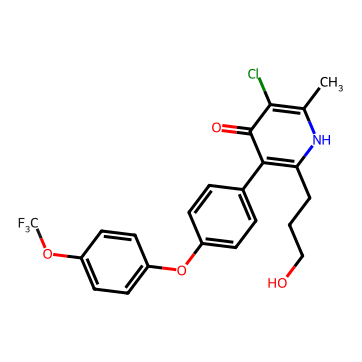 Cc1[nH]c(CCCO)c(-c2ccc(Oc3ccc(OC(F)(F)F)cc3)cc2)c(=O)c1Cl